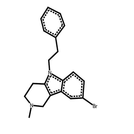 CN1CCc2c(c3cc(Br)ccc3n2CCc2ccccc2)C1